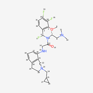 COc1c(C(F)N(CCN(C)C)C(=O)CNc2cccc3c2CN(CC2CC2)CC3)ccc(F)c1F